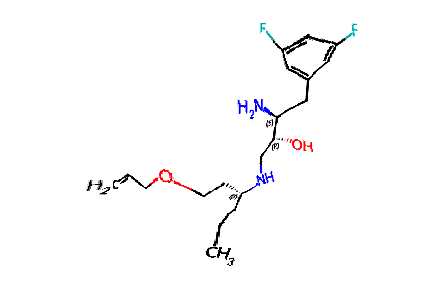 C=CCOCC[C@@H](CCC)NC[C@@H](O)[C@@H](N)Cc1cc(F)cc(F)c1